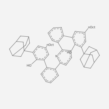 CCCCCCCCc1cc(-c2ccccc2-c2cccc(-c3ccccc3-c3cc(CCCCCCCC)cc(C45CC6CC(CC(C6)C4)C5)c3O)n2)c(O)c(C23CC4CC(CC(C4)C2)C3)c1